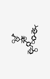 CC(C)c1ccc(-c2ccc(Oc3cc(-c4nc([C@H]5CC(=O)N(C6CC6)C5)no4)ccc3Cn3cnccc3=O)cc2)nn1